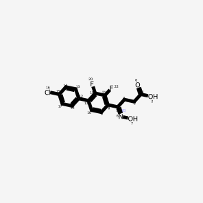 O=C(O)CC/C(=N\O)c1ccc(-c2ccc(Cl)cc2)c(F)c1F